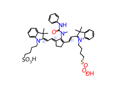 CN(C(=O)Nc1ccccc1)C1=C(/C=C/C2=[N+](CCCCSOOO)c3ccccc3C2(C)C)CC/C1=C\C=C1\N(CCCCS(=O)(=O)O)c2ccccc2C1(C)C